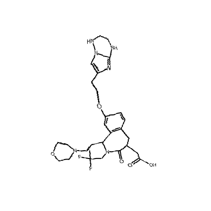 O=C(O)CC1Cc2ccc(OCCc3cn4c(n3)NCCN4)cc2C(CCN2CCOCC2)N(CC(F)(F)F)C1=O